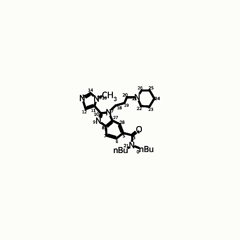 CCCCN(CCCC)C(=O)c1ccc2nc(-c3cncn3C)n(CCCN3CCCCC3)c2c1